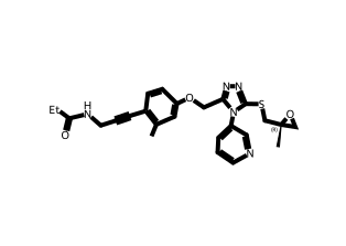 CCC(=O)NCC#Cc1ccc(OCc2nnc(SC[C@@]3(C)CO3)n2-c2cccnc2)cc1C